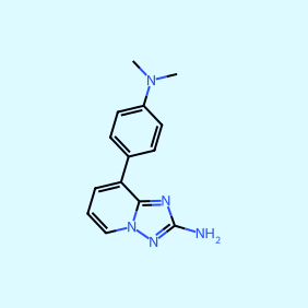 CN(C)c1ccc(-c2cccn3nc(N)nc23)cc1